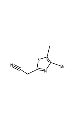 Cc1sc(CC#N)nc1Br